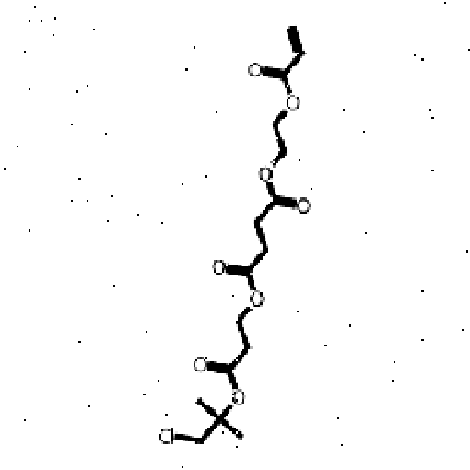 C=CC(=O)OCCOC(=O)CCC(=O)OCCC(=O)OC(C)(C)CCl